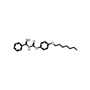 CCCCCCCOc1ccc(OC(=O)NC(=N)c2cc[c]cc2)cc1